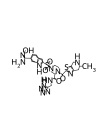 CC1Cc2nc(C(=O)N3CCN(S(=O)(=O)c4cc5ccc(/C(N)=N\O)cc5[nH]4)CC3C(=O)NCc3nnn[nH]3)sc2CN1